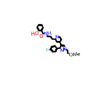 COCCn1cc(-c2ccnc(CCCNC(=O)c3ccccc3O)c2)c(-c2ccc(F)cc2)n1